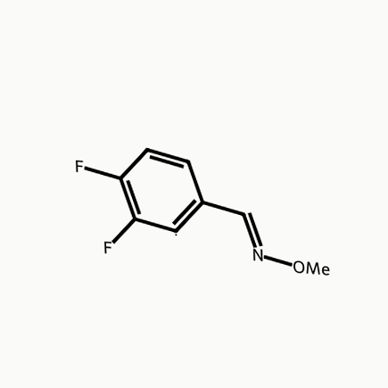 CO/N=C/c1[c]c(F)c(F)cc1